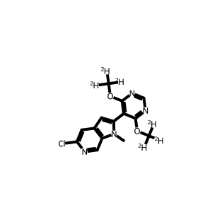 [2H]C([2H])([2H])Oc1ncnc(OC([2H])([2H])[2H])c1-c1cc2cc(Cl)ncc2n1C